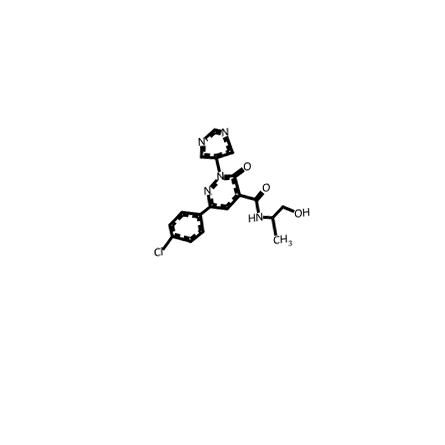 CC(CO)NC(=O)c1cc(-c2ccc(Cl)cc2)nn(-c2cncnc2)c1=O